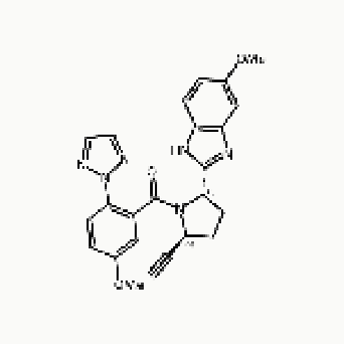 C#C[C@@H]1CC[C@@H](c2nc3cc(OC)ccc3[nH]2)N1C(=O)c1cc(OC)ccc1-n1nccn1